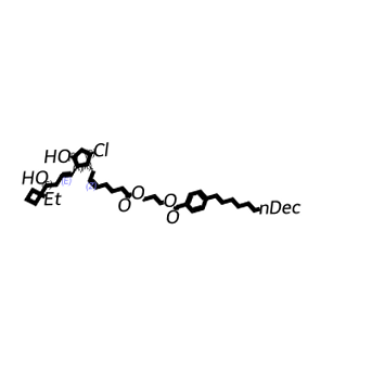 CCCCCCCCCCCCCCCCc1ccc(C(=O)OCCCOC(=O)CCC/C=C\C[C@@H]2[C@@H](/C=C/C[C@H](O)C3(CC)CCC3)[C@H](O)C[C@H]2Cl)cc1